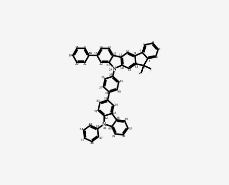 CC1(C)c2ccccc2-c2cc3c4ccc(-c5ccccc5)cc4n(-c4ccc(-c5ccc6c(c5)c5ccccc5n6-c5ccccc5)cc4)c3cc21